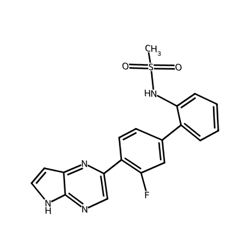 CS(=O)(=O)Nc1ccccc1-c1ccc(-c2cnc3[nH]ccc3n2)c(F)c1